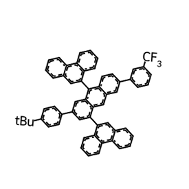 CC(C)(C)c1ccc(-c2cc(-c3cc4ccccc4c4ccccc34)c3cc4cc(-c5cccc(C(F)(F)F)c5)ccc4c(-c4cc5ccccc5c5ccccc45)c3c2)cc1